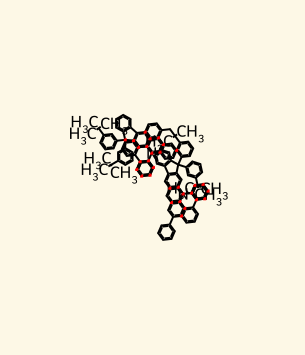 CC(C)(C)c1cccc(C2(c3cccc(C(C)(C)Cc4ccccc4-c4ccccc4N(c4ccc5c(c4)C(c4cccc(C(C)(C)C)c4)(c4cccc(C(C)(C)C)c4)c4ccccc4-5)c4ccccc4-c4ccccc4-c4ccccc4C4=CCCC=C4)c3)c3ccccc3-c3ccc(N(c4ccc(-c5ccccc5)cc4)c4ccccc4-c4ccccc4-c4ccccc4-c4ccccc4)cc32)c1